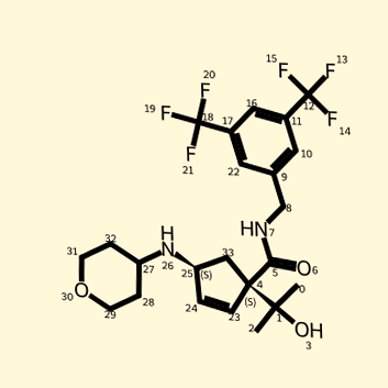 CC(C)(O)[C@@]1(C(=O)NCc2cc(C(F)(F)F)cc(C(F)(F)F)c2)C=C[C@@H](NC2CCOCC2)C1